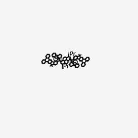 CC(C)c1cc(N(c2ccc3c(c2)-c2cc4c5ccccc5c5ccccc5c4cc2C3(C)C)c2cccc3c2oc2ccccc23)c2ccc3c(C(C)C)cc(N(c4ccc5c(c4)-c4cc6c7ccccc7c7ccccc7c6cc4C5(C)C)c4cccc5c4oc4ccccc45)c4ccc1c2c34